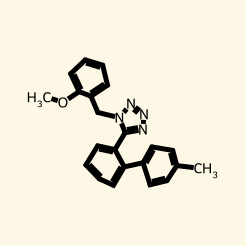 COc1ccccc1Cn1nnnc1-c1ccccc1-c1ccc(C)cc1